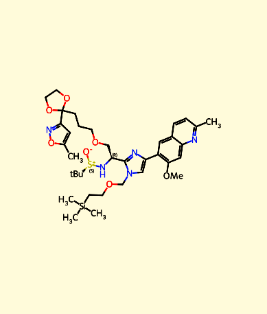 COc1cc2nc(C)ccc2cc1-c1cn(COCC[Si](C)(C)C)c([C@H](COCCCC2(c3cc(C)on3)OCCO2)N[S@+]([O-])C(C)(C)C)n1